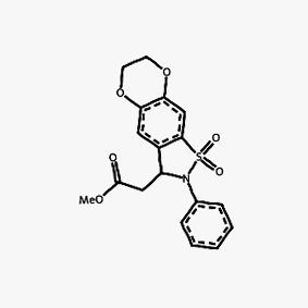 COC(=O)CC1c2cc3c(cc2S(=O)(=O)N1c1ccccc1)OCCO3